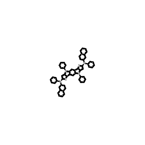 c1ccc(N(c2ccc3ccccc3c2)c2cc3c(s2)c2cc4c(cc2n3-c2ccccc2)c2sc(N(c3ccccc3)c3ccc5ccccc5c3)cc2n4-c2ccccc2)cc1